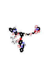 COc1cc2c(cc1OCc1cc(COc3cc4c(cc3OC)C(=O)N3c5ccccc5C[C@H]3C=N4)cc(CSCCCOCCC(=O)ON3C(=O)CCC3=O)c1)N=C[C@@H]1Cc3ccccc3N1C2=O